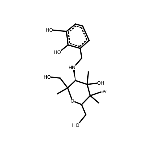 CC(C)C1(C)C(CO)OC(C)(CO)[C@@H](NCc2cccc(O)c2O)C1(C)O